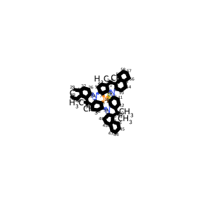 CC1(C)c2ccc3c4c2N(c2ccc5c6c2P4(=S)c2c(ccc4c2N3c2ccc3ccccc3c2C4(C)C)N6c2ccc3ccccc3c2C5(C)C)c2ccc3ccccc3c21